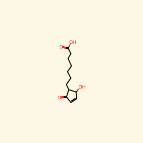 O=C(O)CCCCCCC1C(=O)C=CC1O